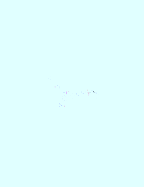 COc1cc(N2CCN(C(=O)OC(C)(C)C)CC2)ccc1-c1cc(C(=O)N(C)C)cc2sc(C3=CCCN(C(=O)CCc4nccs4)C3)nc12